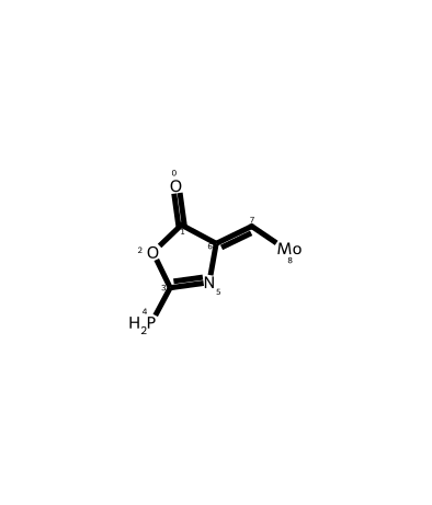 O=C1OC(P)=NC1=[CH][Mo]